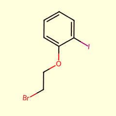 BrCCOc1ccccc1I